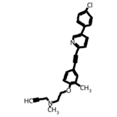 C#CCN(C)CCOc1ccc(C#Cc2ccc(-c3ccc(Cl)cc3)cn2)cc1C